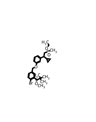 CCOP(C)(=O)CC(c1cccc(OCc2ccc(Br)c([C@@H](OC)C(C)(C)C)c2)c1)C1CC1